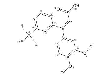 COc1ccc(/C(=C/C(=O)O)c2cccc(C(F)(F)F)c2)cc1OC